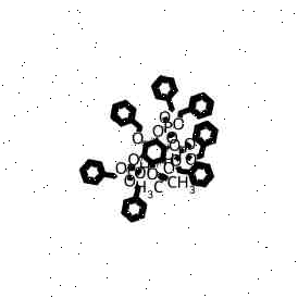 CC1(C)O[C@@H]2[C@H](O1)[C@H](OP(=O)(OCc1ccccc1)OCc1ccccc1)[C@@H](OCc1ccccc1)[C@H](OP(=O)(OCc1ccccc1)OCc1ccccc1)[C@H]2OP(=O)(OCc1ccccc1)OCc1ccccc1